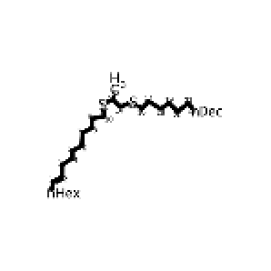 CCCCCC/C=C/CCCCCCCCSC(C)CSCCCCCCCCCCCCCCCC